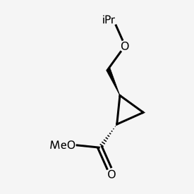 COC(=O)[C@H]1C[C@@H]1COC(C)C